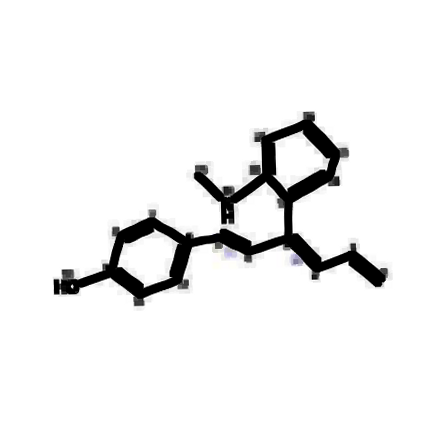 C=C/C=C(/C=C/c1ccc(O)cc1)c1ccccc1NC